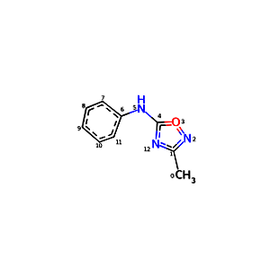 Cc1noc(Nc2ccccc2)n1